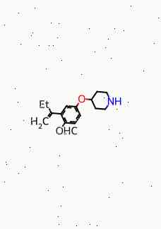 C=C(CC)c1cc(OC2CCNCC2)ccc1C=O